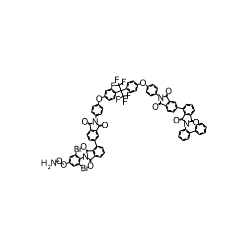 NOOc1cc(Br)c(N2C(=O)c3cccc(-c4ccc5c(c4)C(=O)N(c4ccc(Oc6ccc(C(c7ccc(Oc8ccc(N9C(=O)c%10ccc(-c%11cccc%12c%11C(=O)N(c%11ccccc%11-c%11ccccc%11)C%12=O)cc%10C9=O)cc8)cc7)(C(F)(F)F)C(F)(F)F)cc6)cc4)C5=O)c3C2=O)c(Br)c1